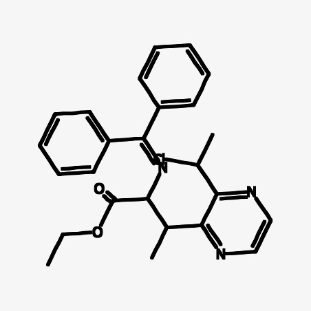 CCOC(=O)C(N=C(c1ccccc1)c1ccccc1)C(C)c1nccnc1C(C)Cl